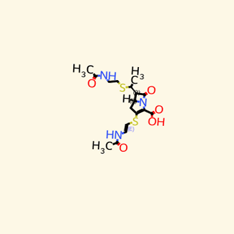 CC(=O)N/C=C/SC1=C(C(=O)O)N2C(=O)[C@H](C(C)SCCNC(C)=O)[C@H]2C1